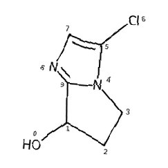 OC1CCn2c(Cl)cnc21